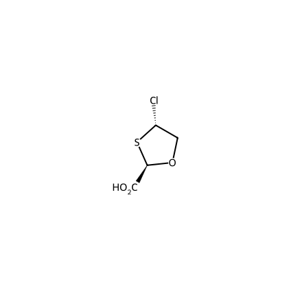 O=C(O)[C@@H]1OC[C@@H](Cl)S1